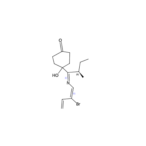 C=C/C(Br)=C\N=C(/[C@H](C)CC)C1(O)CCC(=O)CC1